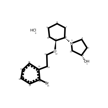 Cl.O[C@H]1CCN([C@H]2CCCC[C@@H]2OCCc2ccccc2Br)C1